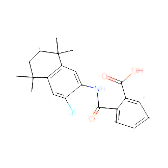 CC1(C)CCC(C)(C)c2cc(NC(=O)c3ccccc3C(=O)O)c(F)cc21